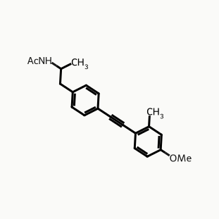 COc1ccc(C#Cc2ccc(CC(C)NC(C)=O)cc2)c(C)c1